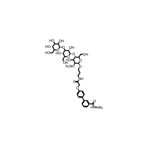 CCCCNC(=O)c1cccc(-c2ccc(OCC(=O)NCCCO[C@@H]3OC(CO)[C@@H](O[C@@H]4OC(CO)[C@H](O)C(O[C@H]5OC(CO)[C@H](O)C(O)C5O)[C@@H]4O)C(O)C3NC(C)=O)cc2)c1